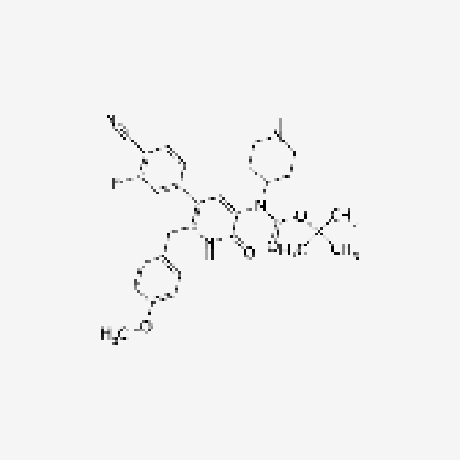 COc1ccc(Cc2[nH]c(=O)c(N(C(=O)OC(C)(C)C)C3CCNCC3)cc2-c2ccc(C#N)c(F)c2)cc1